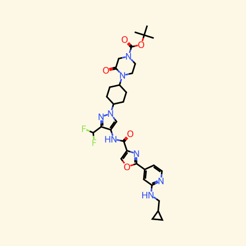 CC(C)(C)OC(=O)N1CCN(C2CCC(n3cc(NC(=O)c4coc(-c5ccnc(NCC6CC6)c5)n4)c(C(F)F)n3)CC2)C(=O)C1